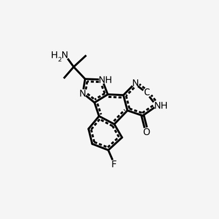 CC(C)(N)c1nc2c3ccc(F)cc3c3c(=O)[nH]cnc3c2[nH]1